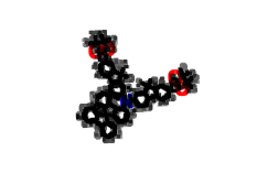 CC1(C)c2cc(B3OC(C)(C)C(C)(C)O3)ccc2-c2ccc(N(c3ccc4c(c3)C(C)(C)c3cc(B5OC(C)(C)C(C)(C)O5)ccc3-4)c3cccc4c3-c3ccccc3C43c4ccccc4-c4ccccc43)cc21